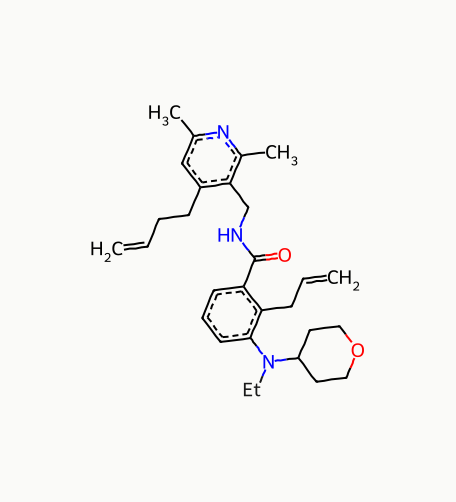 C=CCCc1cc(C)nc(C)c1CNC(=O)c1cccc(N(CC)C2CCOCC2)c1CC=C